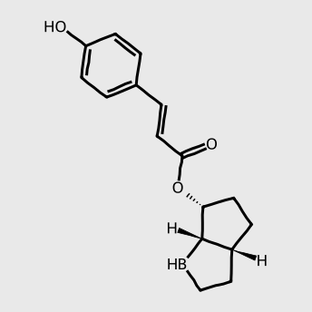 O=C(/C=C/c1ccc(O)cc1)O[C@@H]1CC[C@@H]2CCB[C@@H]21